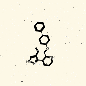 CCc1c[nH]nc1[C@@H]1CCCN[C@@H]1CO[C@H]1CC[C@@H](c2ccccc2)CC1